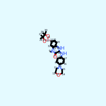 CN1C(=O)C(Nc2ccc(N3CCOCC3)cc2)Nc2ccc(B3OC(C)(C)C(C)(C)O3)cc21